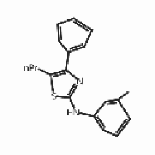 CCCc1sc(Nc2cccc(C)c2)nc1-c1ccccc1